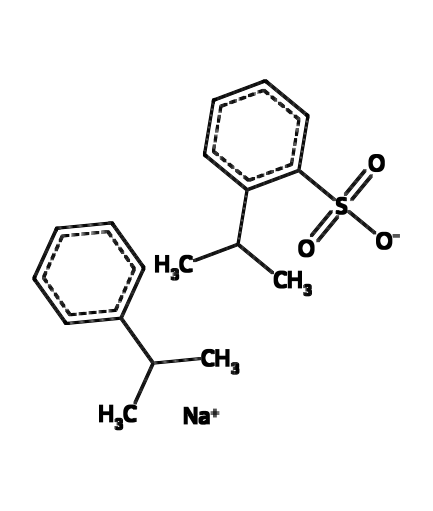 CC(C)c1ccccc1.CC(C)c1ccccc1S(=O)(=O)[O-].[Na+]